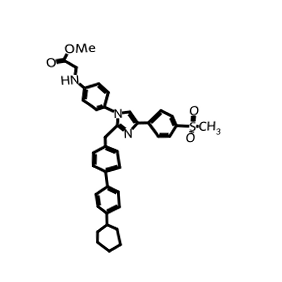 COC(=O)CNc1ccc(-n2cc(-c3ccc(S(C)(=O)=O)cc3)nc2Cc2ccc(-c3ccc(C4CCCCC4)cc3)cc2)cc1